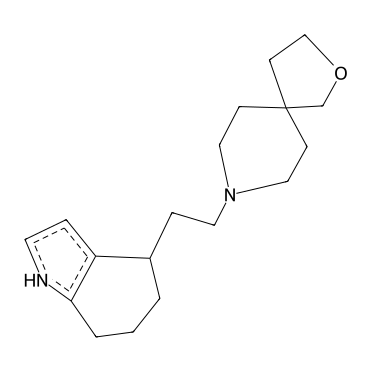 c1cc2c([nH]1)CCCC2CCN1CCC2(CCOC2)CC1